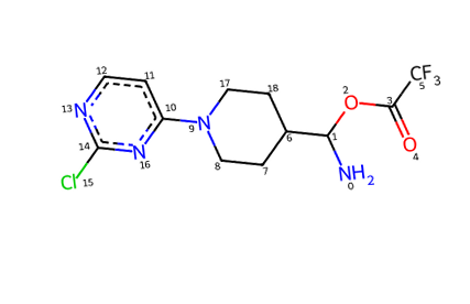 NC(OC(=O)C(F)(F)F)C1CCN(c2ccnc(Cl)n2)CC1